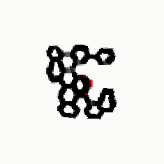 c1ccc(-c2ccc(-c3ccccc3)c(N(c3ccc(-c4cccc5ccccc45)cc3)c3ccccc3-c3cc4ccccc4c4ccccc34)c2)cc1